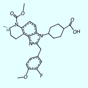 COC(=O)N1c2ccc3c(nc(Cc4ccc(OC)c(F)c4)n3C3CCC(C(=O)O)CC3)c2CC[C@@H]1C